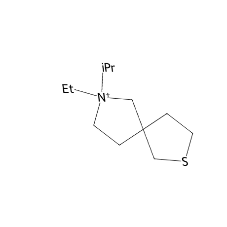 CC[N+]1(C(C)C)CCC2(CCSC2)C1